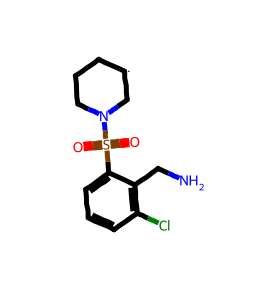 NCc1c(Cl)cccc1S(=O)(=O)N1C[CH]CCC1